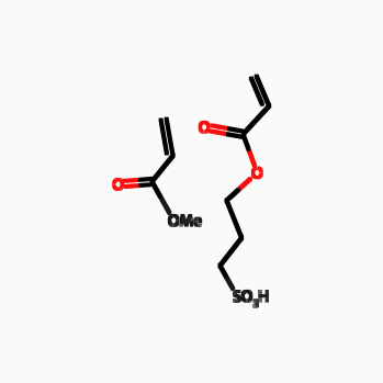 C=CC(=O)OC.C=CC(=O)OCCCS(=O)(=O)O